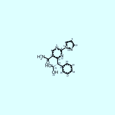 NC(=O)c1cnc(-n2cccn2)nc1[C@H](c1ccccc1)C(O)O